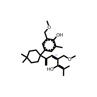 C=C(/C=C(/COC)C(O)=C(C)C)C1(c2cc(C)c(O)c(COC)c2)CCC(C)(C)CC1